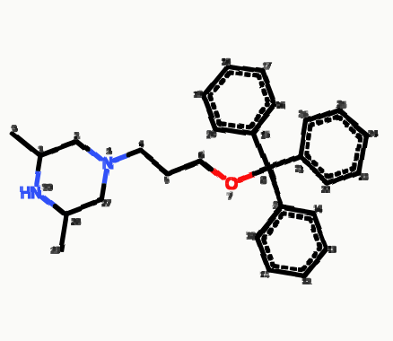 CC1CN(CCCOC(c2ccccc2)(c2ccccc2)c2ccccc2)CC(C)N1